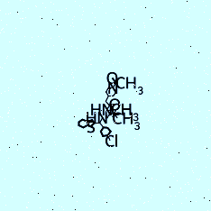 CC(=O)N1CCC(CC(=O)N[C@H](CNC(c2ccc(Cl)cc2)c2cc3ccccc3s2)C(C)C)CC1